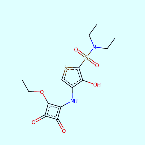 CCOc1c(Nc2csc(S(=O)(=O)N(CC)CC)c2O)c(=O)c1=O